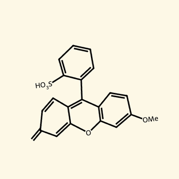 C=c1ccc2c(c1)Oc1cc(OC)ccc1C=2c1ccccc1S(=O)(=O)O